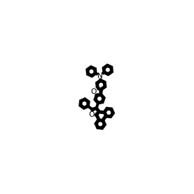 c1ccc(-c2oc3c4ccccc4c4ccccc4c3c2-c2ccc3c(c2)oc2cc(N(c4ccccc4)c4ccccc4)ccc23)cc1